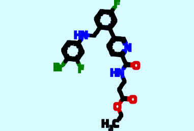 CCOC(=O)CCNC(=O)c1ccc(-c2cc(F)ccc2CNc2ccc(Br)c(F)c2)cn1